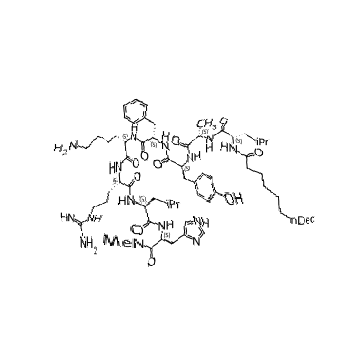 CCCCCCCCCCCCCCCC(=O)N[C@@H](CC(C)C)C(=O)N[C@@H](C)C(=O)N[C@@H](Cc1ccc(O)cc1)C(=O)N[C@@H](Cc1ccccc1)C(=O)N[C@@H](CCCCN)C(=O)N[C@@H](CCCNC(=N)N)C(=O)N[C@@H](CC(C)C)C(=O)N[C@@H](Cc1c[nH]cn1)C(=O)NC